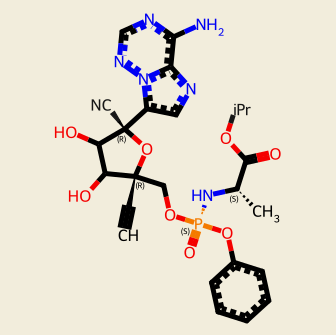 C#C[C@]1(CO[P@@](=O)(N[C@@H](C)C(=O)OC(C)C)Oc2ccccc2)O[C@@](C#N)(c2cnc3c(N)ncnn23)C(O)C1O